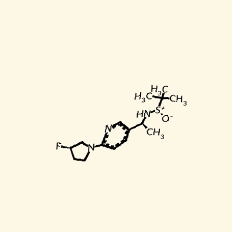 C[C@H](N[S@@+]([O-])C(C)(C)C)c1ccc(N2CC[C@@H](F)C2)nc1